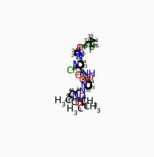 CC(C)(C)OC(=O)N1C(CNc2cccc(S(=O)(=O)NC(=O)c3ccc(-n4ccc(OCCC5(C(F)(F)F)CC5)n4)nc3Cl)n2)CCC1(C)C